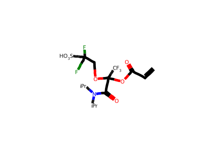 C=CC(=O)OC(OCC(F)(F)S(=O)(=O)O)(C(=O)N(C(C)C)C(C)C)C(F)(F)F